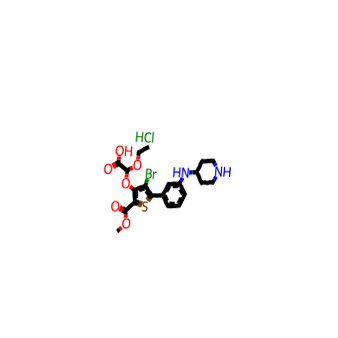 CCOC(Oc1c(C(=O)OC)sc(-c2cccc(NC3CCNCC3)c2)c1Br)C(=O)O.Cl